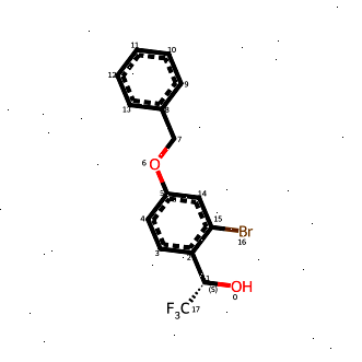 O[C@@H](c1ccc(OCc2ccccc2)cc1Br)C(F)(F)F